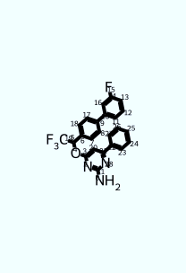 Nc1nc(OC(c2ccc(-c3cccc(F)c3)cc2)C(F)(F)F)cc(-c2ccccc2)n1